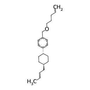 C=CCCCOCc1ccc([C@H]2CC[C@H](C/C=C/C)CC2)cc1